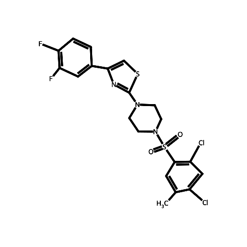 Cc1cc(S(=O)(=O)N2CCN(c3nc(-c4ccc(F)c(F)c4)cs3)CC2)c(Cl)cc1Cl